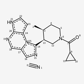 C#N.C[C@H]1CCN(C(=O)C2CC2)C[C@H]1c1ncc2cnc3[nH]ccc3n12